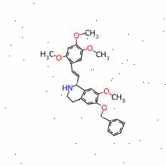 COc1cc(OC)c(OC)cc1/C=C/C1NCCc2cc(OCc3ccccc3)c(OC)cc21